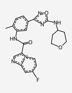 Cc1ccc(-c2noc(NC3CCOCC3)n2)cc1NC(=O)c1cnc2cc(F)ccn12